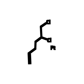 C=CCCC(Cl)CCl.[Pt]